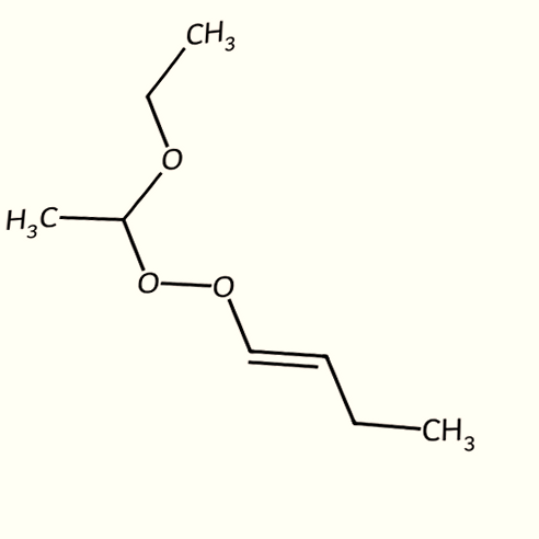 CCC=COOC(C)OCC